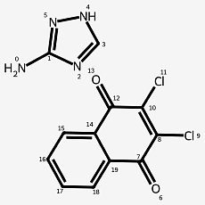 Nc1nc[nH]n1.O=C1C(Cl)=C(Cl)C(=O)c2ccccc21